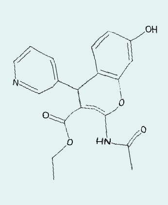 CCOC(=O)C1=C(NC(C)=O)Oc2cc(O)ccc2C1c1cccnc1